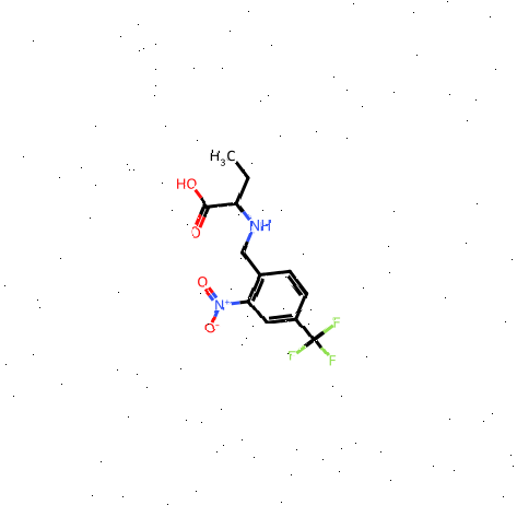 CCC(NCc1ccc(C(F)(F)F)cc1[N+](=O)[O-])C(=O)O